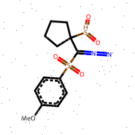 COc1ccc(S(=O)(=O)C(=[N+]=[N-])C2([SH](=O)=O)CCCC2)cc1